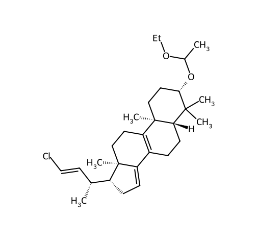 CCOC(C)O[C@H]1CC[C@]2(C)C3=C(CC[C@H]2C1(C)C)C1=CC[C@H]([C@H](C)C=CCl)[C@@]1(C)CC3